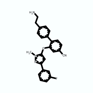 Cn1nc(-c2cccc(F)c2)cc1Oc1cc(C#N)ccc1-c1ccc(CCN)cc1